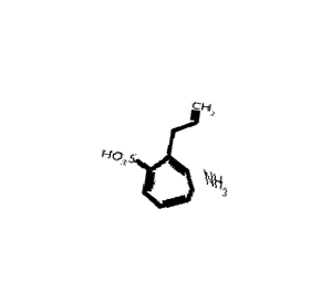 C=CCc1ccccc1S(=O)(=O)O.N